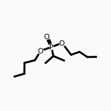 CCCCOP(=O)(OCCCC)C(C)C